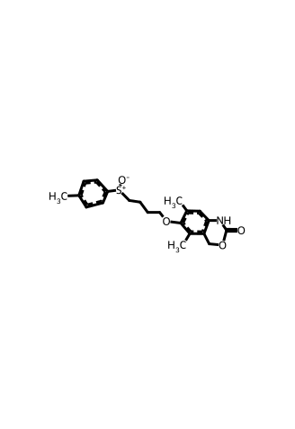 Cc1ccc([S+]([O-])CCCCOc2c(C)cc3c(c2C)COC(=O)N3)cc1